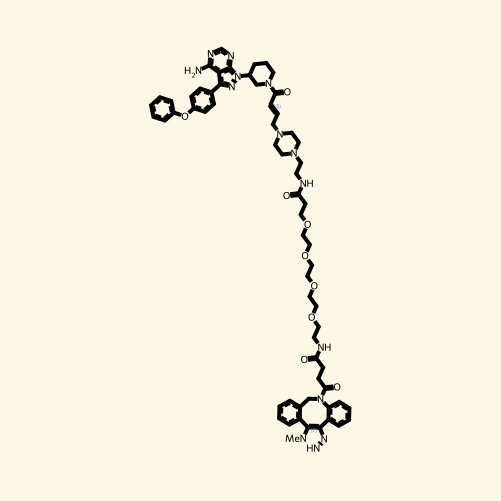 CN/C1=C(\N=N)c2ccccc2N(C(=O)CCC(=O)NCCOCCOCCOCCOCCC(=O)NCCN2CCN(C/C=C/C(=O)N3CCCC(n4nc(-c5ccc(Oc6ccccc6)cc5)c5c(N)ncnc54)C3)CC2)Cc2ccccc21